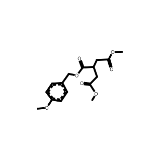 COC(=O)CC(CC(=O)OC)C(=O)OCc1ccc(OC)cc1